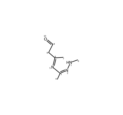 CN/N=C(C)\N=C(/C)CC=O